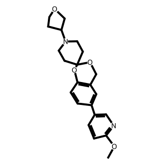 COc1ccc(-c2ccc3c(c2)COC2(CCN(C4CCOC4)CC2)O3)cn1